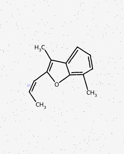 C/C=C\c1oc2c(C)cccc2c1C